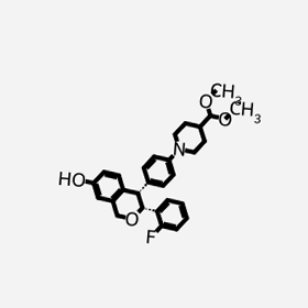 COC(OC)C1CCN(c2ccc([C@H]3c4ccc(O)cc4CO[C@H]3c3ccccc3F)cc2)CC1